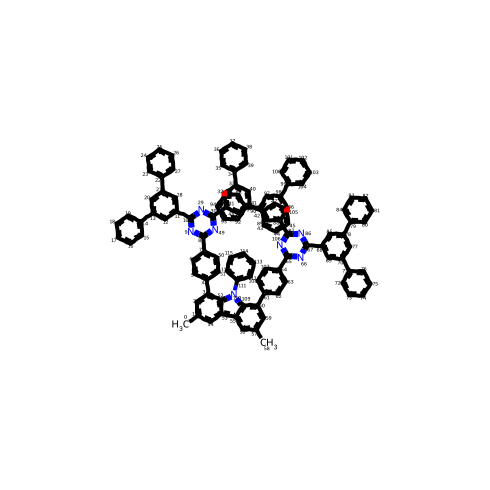 Cc1cc(-c2ccc(-c3nc(-c4cc(-c5ccccc5)cc(-c5ccccc5)c4)nc(-c4cc(-c5ccccc5)cc(-c5ccccc5)c4)n3)cc2)c2c(c1)c1cc(C)cc(-c3ccc(-c4nc(-c5cc(-c6ccccc6)cc(-c6ccccc6)c5)nc(-c5cc(-c6ccccc6)cc(-c6ccccc6)c5)n4)cc3)c1n2-c1ccccc1